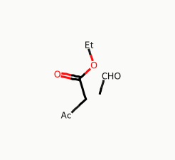 CC=O.CCOC(=O)CC(C)=O